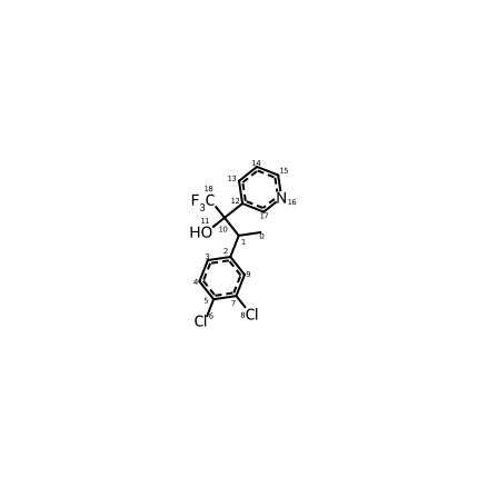 CC(c1ccc(Cl)c(Cl)c1)C(O)(c1cccnc1)C(F)(F)F